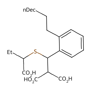 CCCCCCCCCCCCc1ccccc1C(SC(CC)C(=O)O)C(C(=O)O)C(=O)O